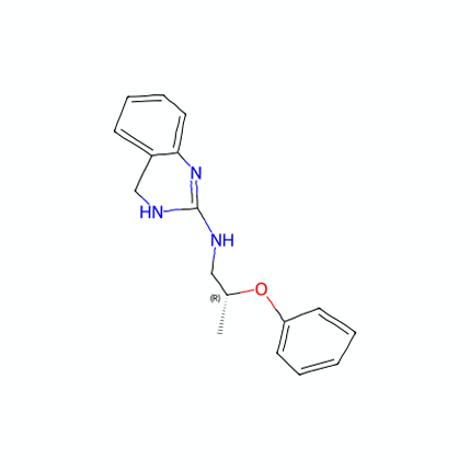 C[C@H](CNC1=Nc2ccccc2CN1)Oc1ccccc1